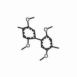 COc1cc(-c2cc(OC)c(C)cc2OC)c(OC)cc1C